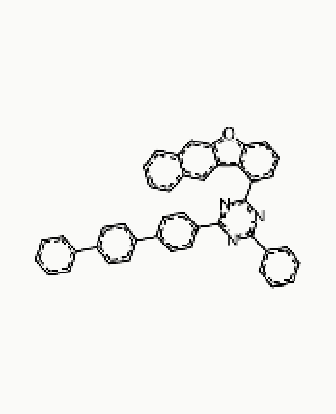 c1ccc(-c2ccc(-c3ccc(-c4nc(-c5ccccc5)nc(-c5cccc6oc7cc8ccccc8cc7c56)n4)cc3)cc2)cc1